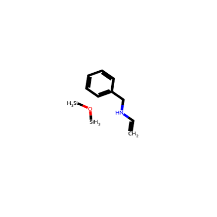 C=CNCc1ccccc1.[SiH3]O[SiH3]